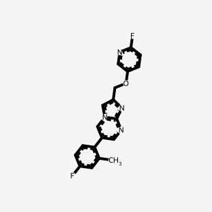 Cc1cc(F)ccc1-c1cnc2nc(COc3ccc(F)nc3)cn2c1